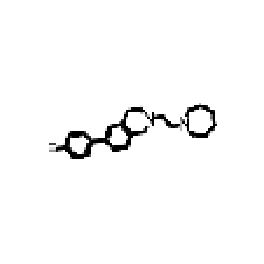 Fc1ccc(-c2ccc3c(c2)CCN(CCN2CCCCCC2)C3)cc1